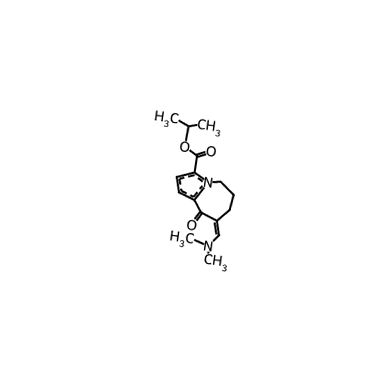 CC(C)OC(=O)c1ccc2n1CCCC(=CN(C)C)C2=O